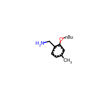 CCCCOc1cc(C)ccc1CN